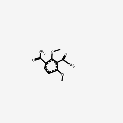 COc1ccc(C(N)=O)c(OC)c1C(N)=O